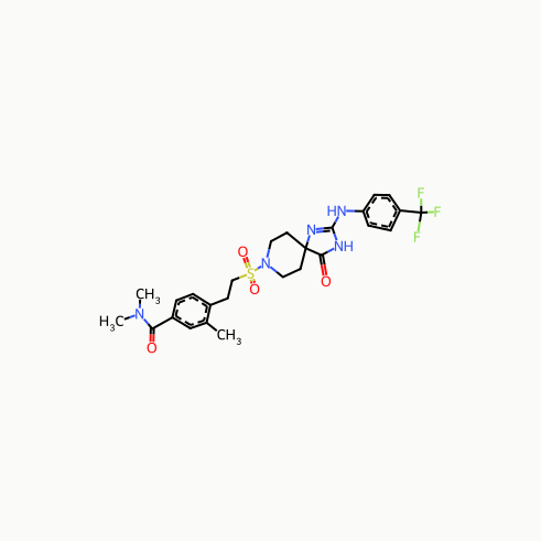 Cc1cc(C(=O)N(C)C)ccc1CCS(=O)(=O)N1CCC2(CC1)N=C(Nc1ccc(C(F)(F)F)cc1)NC2=O